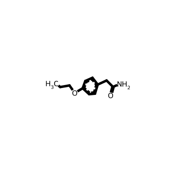 CCCOc1ccc(CC(N)=O)cc1